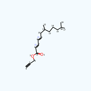 C#CCOC(=O)/C=C/C=C/CC(C)CCCC(C)C